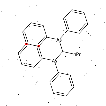 CCCC([As](c1ccccc1)c1ccccc1)[As](c1ccccc1)c1ccccc1